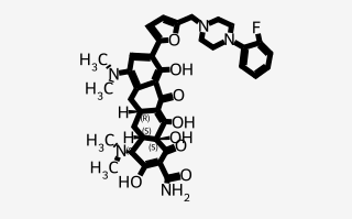 CN(C)c1cc(-c2ccc(CN3CCN(c4ccccc4F)CC3)o2)c(O)c2c1C[C@H]1C[C@H]3[C@H](N(C)C)C(O)=C(C(N)=O)C(=O)[C@@]3(O)C(O)=C1C2=O